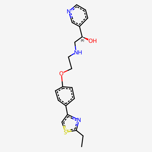 CCc1nc(-c2ccc(OCCNC[C@H](O)c3cccnc3)cc2)cs1